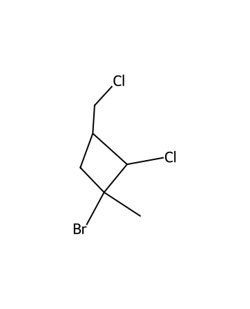 CC1(Br)CC(CCl)C1Cl